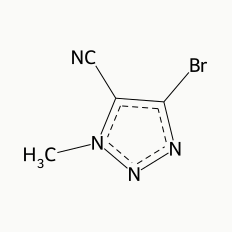 Cn1nnc(Br)c1C#N